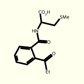 CCC(=O)c1ccccc1C(=O)NC(CSC)C(=O)O